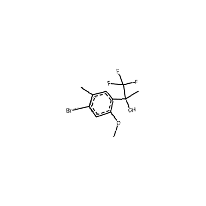 COc1cc(Br)c(C)cc1C(C)(O)C(F)(F)F